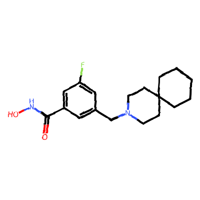 O=C(NO)c1cc(F)cc(CN2CCC3(CCCCC3)CC2)c1